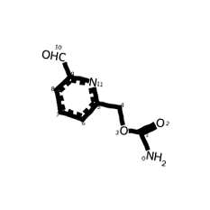 NC(=O)OCc1cccc(C=O)n1